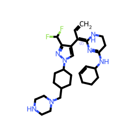 C=C/C(=C1/N=C(NC2C=CCCC2)CCN1)c1cn(C2CCC(CN3CCNCC3)CC2)nc1C(F)F